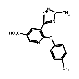 Cn1nnc(-c2cc(C(=O)O)cnc2Oc2ccc(C(F)(F)F)cc2)n1